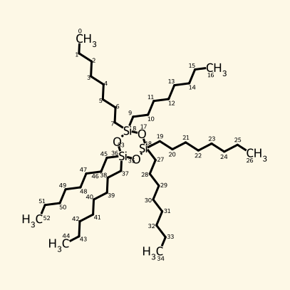 CCCCCCCC[Si]1(CCCCCCCC)O[Si](CCCCCCCC)(CCCCCCCC)O[Si](CCCCCCCC)(CCCCCCCC)O1